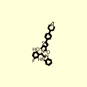 CN1CCC(c2ccc(-c3cc4c(s3)CN(C(c3nc5ccccc5[nH]3)c3cc(F)ccc3O)C4=O)cc2)CC1